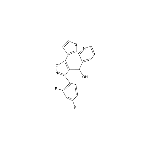 OC(c1cccnc1)c1c(-c2ccc(F)cc2F)noc1-c1ccsc1